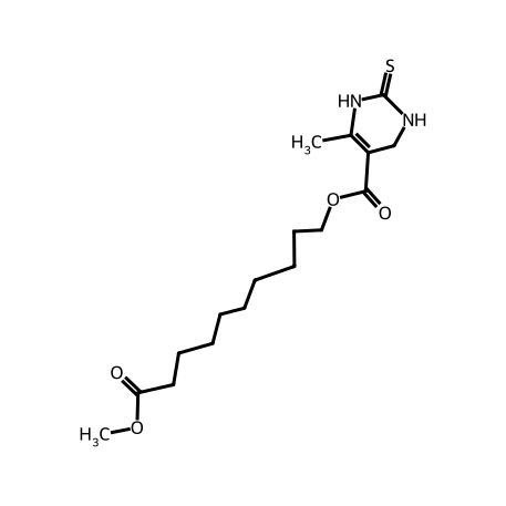 COC(=O)CCCCCCCCCOC(=O)C1=C(C)NC(=S)NC1